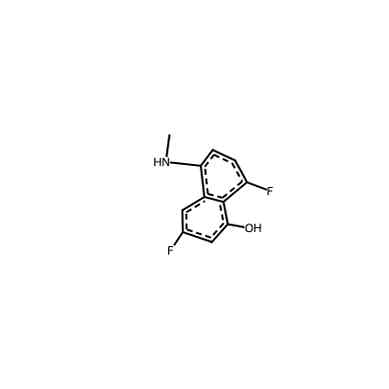 CNc1ccc(F)c2c(O)cc(F)cc12